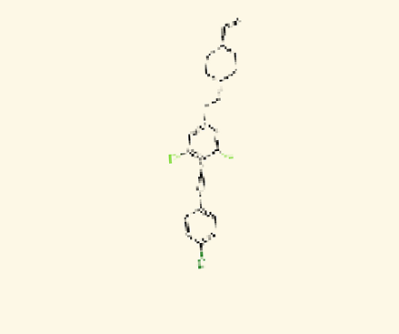 C=C[C@H]1CC[C@H](CCc2cc(F)c(C#Cc3ccc(Cl)cc3)c(F)c2)CC1